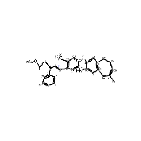 COCCC(/C=C/c1nc(Nc2cc3c(cc2F)CCC=C(C)C3)ncc1C(F)(F)F)c1ccccc1